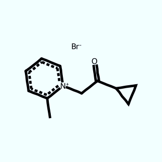 Cc1cccc[n+]1CC(=O)C1CC1.[Br-]